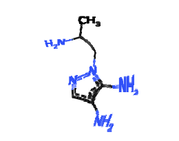 CC(N)Cn1ncc(N)c1N